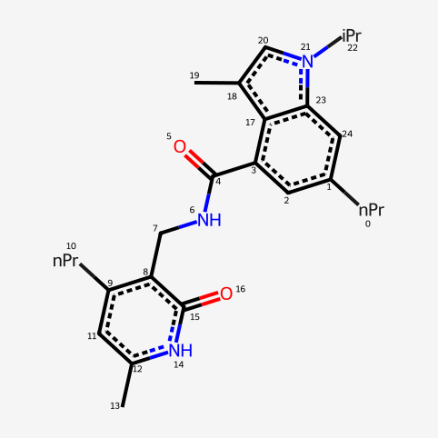 CCCc1cc(C(=O)NCc2c(CCC)cc(C)[nH]c2=O)c2c(C)cn(C(C)C)c2c1